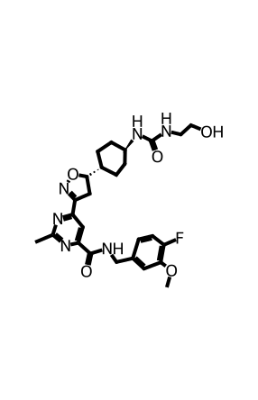 COc1cc(CNC(=O)c2cc(C3=NOC([C@H]4CC[C@H](NC(=O)NCCO)CC4)C3)nc(C)n2)ccc1F